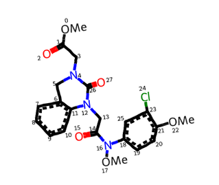 COC(=O)CN1Cc2ccccc2N(CC(=O)N(OC)c2ccc(OC)c(Cl)c2)C1=O